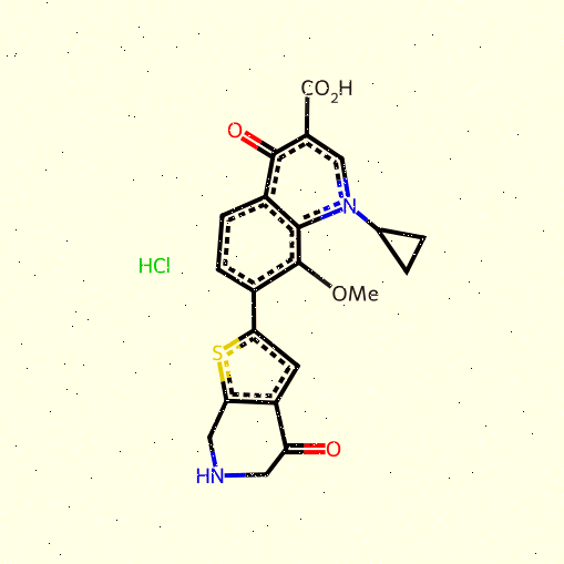 COc1c(-c2cc3c(s2)CNCC3=O)ccc2c(=O)c(C(=O)O)cn(C3CC3)c12.Cl